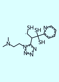 CN(C)CCn1nnnc1C([CH]S)C(S)(S)c1ccccn1